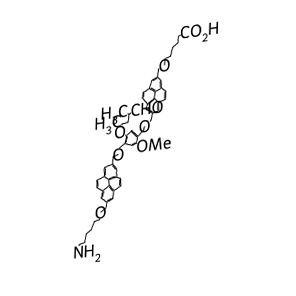 COc1cc(COCc2cc3ccc4cc(COCCCCCCN)cc5ccc(c2)c3c45)c(OC(C)CC(C)C=O)cc1COCc1cc2ccc3cc(COCCCCCC(=O)O)cc4ccc(c1)c2c34